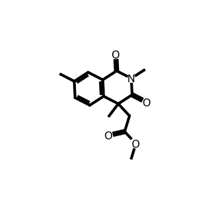 COC(=O)CC1(C)C(=O)N(C)C(=O)c2cc(C)ccc21